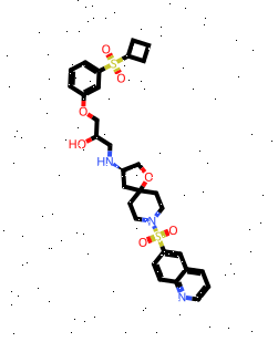 O=S(=O)(c1cccc(OCC(O)CN[C@H]2COC3(CCN(S(=O)(=O)c4ccc5ncccc5c4)CC3)C2)c1)C1CCC1